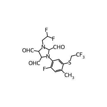 Cc1cc(F)c(N2C(C=O)C(C=O)N(CC(F)F)C2C=O)cc1SCC(F)(F)F